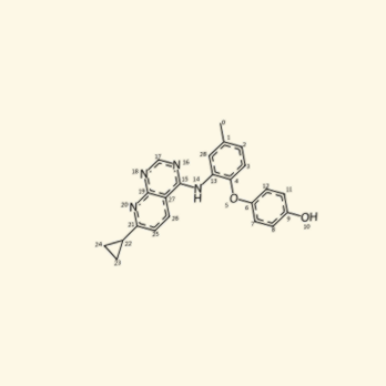 Cc1ccc(Oc2ccc(O)cc2)c(Nc2ncnc3nc(C4CC4)ccc23)c1